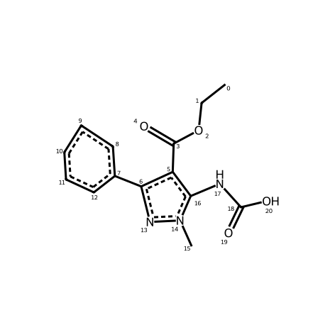 CCOC(=O)c1c(-c2ccccc2)nn(C)c1NC(=O)O